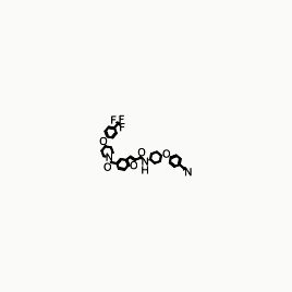 N#Cc1ccc(O[C@H]2CC[C@@H](NC(=O)c3cc4cc(C(=O)N5CCC(Oc6ccc(C(F)(F)F)cc6)CC5)ccc4o3)CC2)cc1